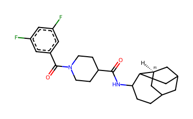 O=C(NC1CCC2CC3CC1[C@H](C2)C3)C1CCN(C(=O)c2cc(F)cc(F)c2)CC1